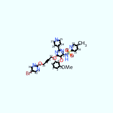 COc1ccccc1Oc1c(NS(=O)(=O)c2ccc(C)cn2)nc(-c2ccncc2)nc1OCC#CCOc1ncc(Br)cn1